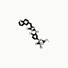 CC(C)NC(=O)N(OC(=O)C(F)(F)F)c1ccc(Cl)c(NC2=NC(=O)C(=Cc3ccc4ncccc4c3)S2)c1